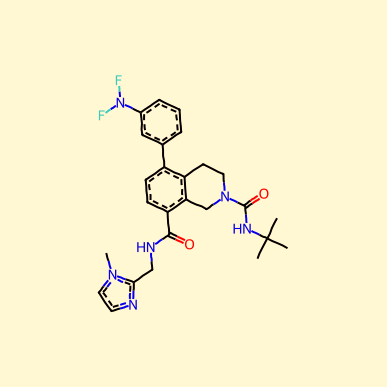 Cn1ccnc1CNC(=O)c1ccc(-c2cccc(N(F)F)c2)c2c1CN(C(=O)NC(C)(C)C)CC2